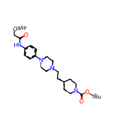 COCC(=O)Nc1ccc(N2CCN(CCC3CCN(C(=O)OC(C)(C)C)CC3)CC2)cc1